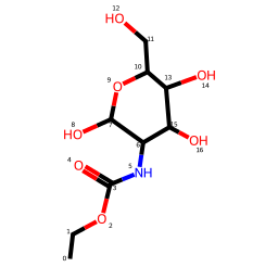 CCOC(=O)NC1C(O)OC(CO)C(O)C1O